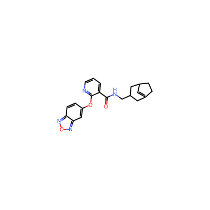 O=C(NCC1CC2=CC(CC2)C1)c1cccnc1Oc1ccc2nonc2c1